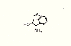 CC(C)=O.N[C@H]1c2ccccc2C[C@H]1O